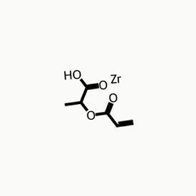 C=CC(=O)OC(C)C(=O)O.[Zr]